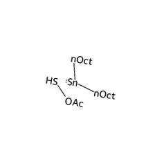 CC(=O)OS.CCCCCCC[CH2][Sn][CH2]CCCCCCC